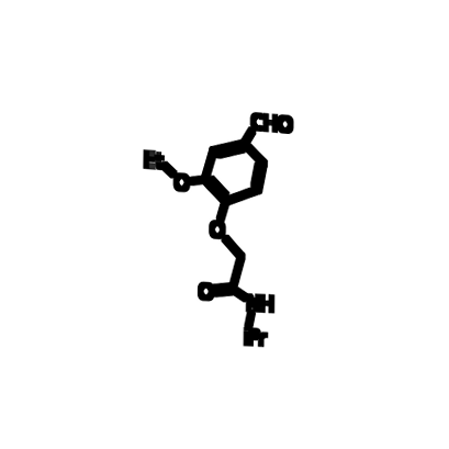 CCOc1cc(C=O)ccc1OCC(=O)NC(C)C